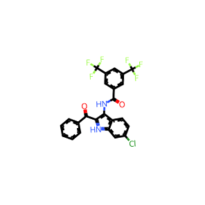 O=C(Nc1c(C(=O)c2ccccc2)[nH]c2cc(Cl)ccc12)c1cc(C(F)(F)F)cc(C(F)(F)F)c1